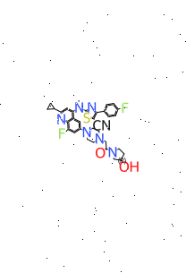 CN(c1nc(-c2ccc(F)cc2)c(C#N)s1)c1cc(C2CC2)nc2c(F)cc(N3CCN(CC(=O)N4CC[C@@H](O)C4)CC3)cc12